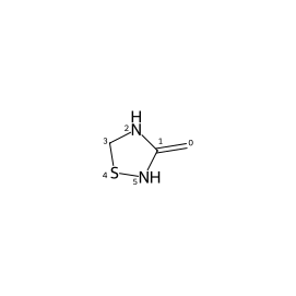 C=C1NCSN1